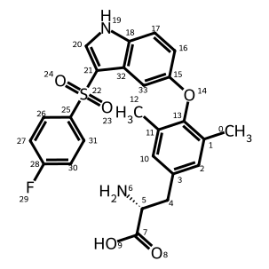 Cc1cc(C[C@@H](N)C(=O)O)cc(C)c1Oc1ccc2[nH]cc(S(=O)(=O)c3ccc(F)cc3)c2c1